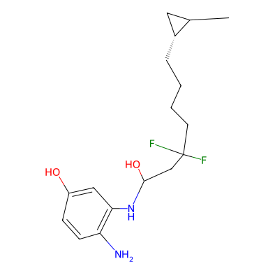 CC1C[C@H]1CCCCC(F)(F)CC(O)Nc1cc(O)ccc1N